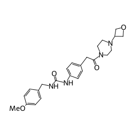 COc1ccc(CNC(=O)Nc2ccc(CC(=O)N3CCN(C4COC4)CC3)cc2)cc1